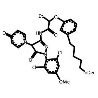 CCCCCCCCCCCCCCCc1cccc(OC(CC)C(=O)NC2=NN(c3c(Cl)cc(OC)cc3Cl)C(=O)C2n2ccc(=O)cc2)c1